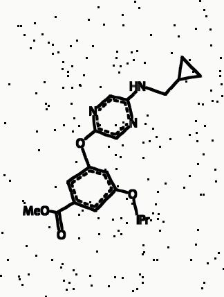 COC(=O)c1cc(Oc2cnc(NCC3CC3)cn2)cc(OC(C)C)c1